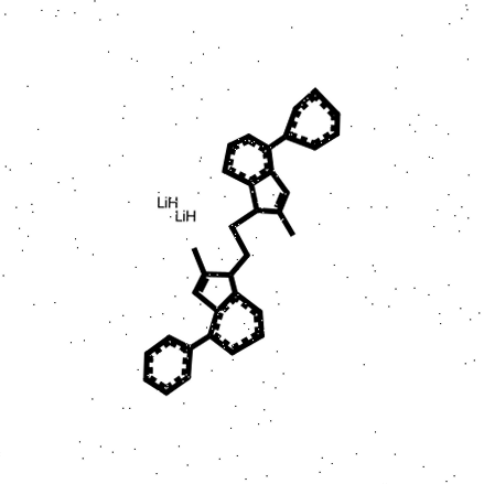 CC1=Cc2c(-c3ccccc3)cccc2C1CCC1C(C)=Cc2c(-c3ccccc3)cccc21.[LiH].[LiH]